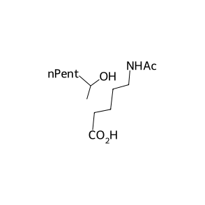 CC(=O)NCCCCC(=O)O.CCCCCC(C)O